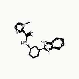 Cn1ccnc1C(=O)NC1CCCC(c2nc3ccccc3[nH]2)C1